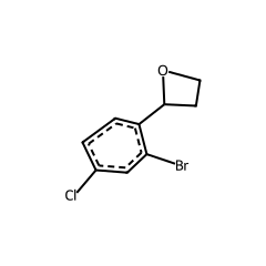 Clc1ccc(C2CCO2)c(Br)c1